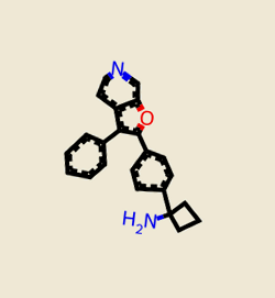 NC1(c2ccc(-c3oc4cnccc4c3-c3ccccc3)cc2)CCC1